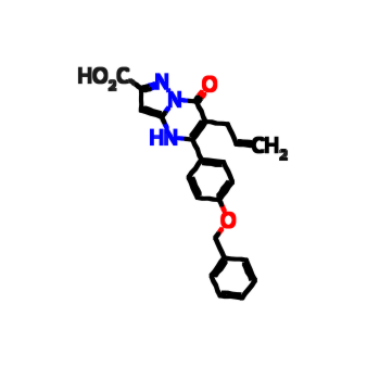 C=CCc1c(-c2ccc(OCc3ccccc3)cc2)[nH]c2cc(C(=O)O)nn2c1=O